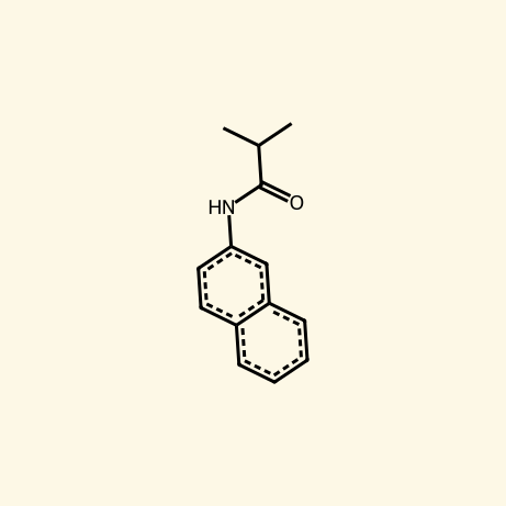 CC(C)C(=O)Nc1ccc2ccccc2c1